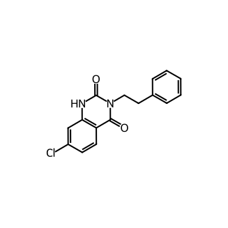 O=c1[nH]c2cc(Cl)ccc2c(=O)n1CCc1ccccc1